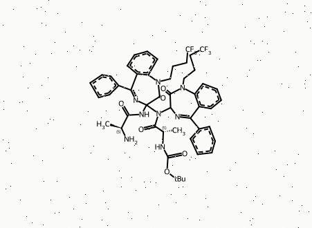 C[C@H](N)C(=O)NC1(N(C(=O)[C@H](C)NC(=O)OC(C)(C)C)C2N=C(c3ccccc3)c3ccccc3N(CCCC(F)(F)F)C2=O)N=C(c2ccccc2)c2ccccc2N(CCCC(F)(F)F)C1=O